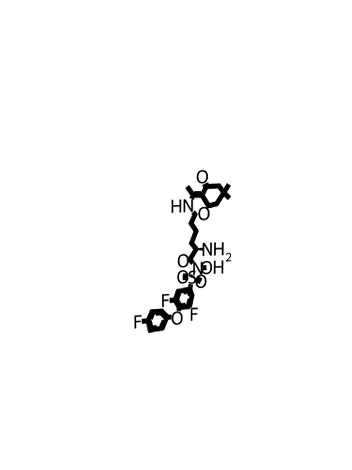 CC(NCCCC[C@@H](N)C(=O)N(O)S(=O)(=O)c1cc(F)c(Oc2ccc(F)cc2)c(F)c1)=C1C(=O)CC(C)(C)CC1=O